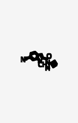 Cn1c(C(=O)NC23CC(C2)C3)cc2ccc(C#N)cc21